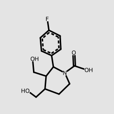 O=C(O)N1CCC(CO)C(CO)C1c1ccc(F)cc1